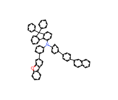 c1ccc(C2(c3ccccc3)c3ccccc3-c3c(N(c4ccc(-c5ccc(-c6ccc7ccccc7c6)cc5)cc4)c4cccc(-c5ccc6c(c5)oc5ccccc56)c4)cccc32)cc1